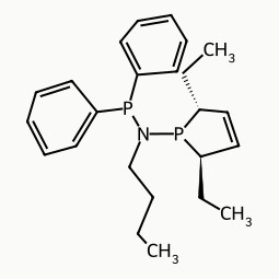 CCCCN(P(c1ccccc1)c1ccccc1)P1[C@H](CC)C=C[C@H]1CC